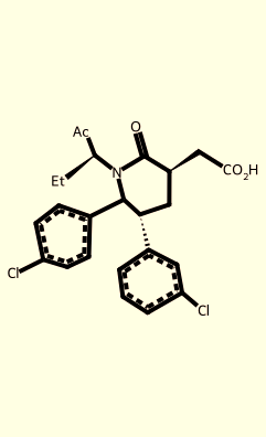 CC[C@@H](C(C)=O)N1C(=O)[C@@H](CC(=O)O)C[C@H](c2cccc(Cl)c2)C1c1ccc(Cl)cc1